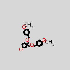 COc1ccc(COCC2(COCc3ccc(OC)cc3)CCC(=O)C2)cc1